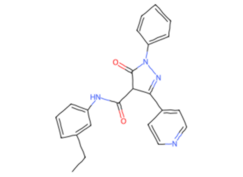 CCc1cccc(NC(=O)C2C(=O)N(c3ccccc3)N=C2c2ccncc2)c1